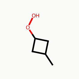 CC1CC(OO)C1